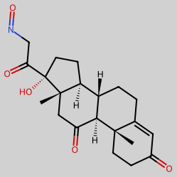 C[C@]12CCC(=O)C=C1CC[C@@H]1[C@@H]2C(=O)C[C@@]2(C)[C@H]1CC[C@]2(O)C(=O)CN=O